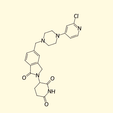 O=C1CCC(N2Cc3cc(CN4CCN(c5ccnc(Cl)c5)CC4)ccc3C2=O)C(=O)N1